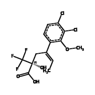 CC=C(C[C@@](O)(C(=O)O)C(F)(F)F)c1ccc(Cl)c(Cl)c1OC